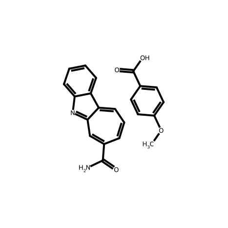 COc1ccc(C(=O)O)cc1.NC(=O)c1cccc2c3ccccc3nc-2c1